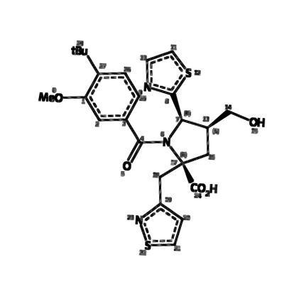 COc1cc(C(=O)N2[C@@H](c3nccs3)[C@@H](CO)C[C@@]2(Cc2ccsn2)C(=O)O)ccc1C(C)(C)C